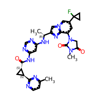 Cc1ccnc([C@H]2C[C@@H]2C(=O)Nc2cc(N[C@H](C)c3cn4cc(C5(F)CC5)cc(N5CC(=O)N(C)C5=O)c4n3)ncn2)n1